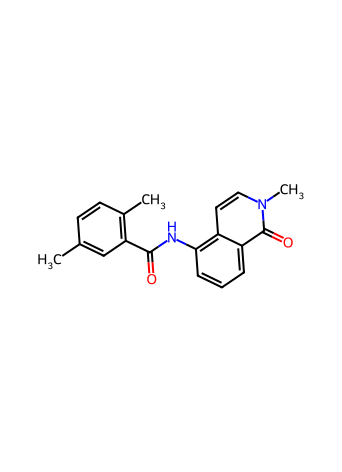 Cc1ccc(C)c(C(=O)Nc2cccc3c(=O)n(C)ccc23)c1